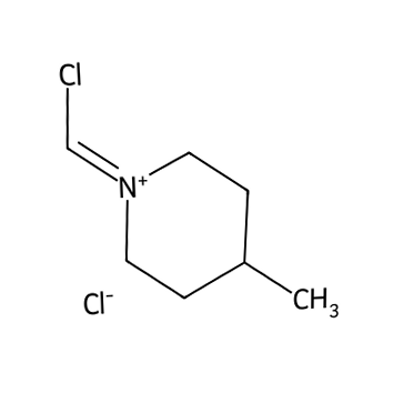 CC1CC[N+](=CCl)CC1.[Cl-]